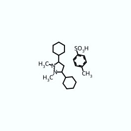 CN1C(C2CCCCC2)CC(C2CCCCC2)N1C.Cc1ccc(S(=O)(=O)O)cc1